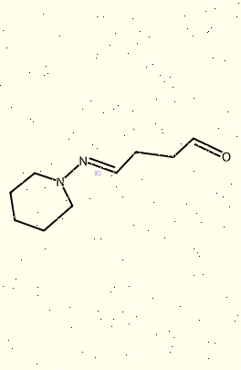 O=CCC/C=N/N1CCCCC1